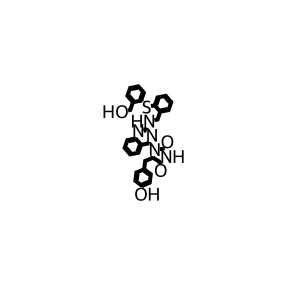 O=C1NC(=O)N(c2nc(NCc3ccccc3Sc3ccccc3CO)nc3ccccc23)C1Cc1ccc(O)cc1